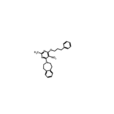 Cc1nc(OCCCc2ccccc2)c([N+](=O)[O-])c(N2CCc3ccccc3CC2)n1